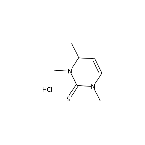 CC1C=CN(C)C(=S)N1C.Cl